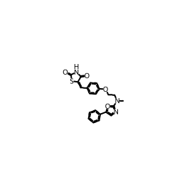 CN(CCOc1ccc(C=C2SC(=O)NC2=O)cc1)c1ncc(-c2ccccc2)o1